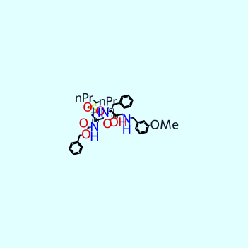 CCCC(CCC)S(=O)(=O)C[C@H](NC(=O)OCc1ccccc1)C(=O)N[C@@H](Cc1ccccc1)[C@H](O)CNCc1cccc(OC)c1